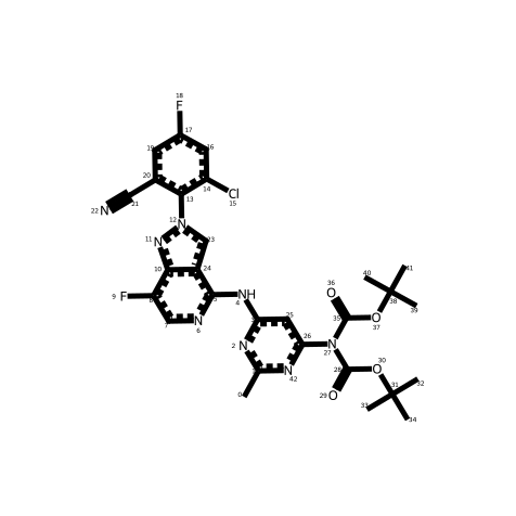 Cc1nc(Nc2ncc(F)c3nn(-c4c(Cl)cc(F)cc4C#N)cc23)cc(N(C(=O)OC(C)(C)C)C(=O)OC(C)(C)C)n1